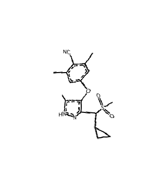 Cc1cc(Oc2c(C(C3CC3)S(C)(=O)=O)n[nH]c2C)cc(C)c1C#N